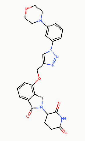 O=C1CCC(N2Cc3c(OCc4cn(-c5cccc(N6CCOCC6)c5)nn4)cccc3C2=O)C(=O)N1